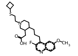 COc1ccc2ncc(F)c(CCCC3CCN(CCSC4CCC4)CC3CC(=O)O)c2c1